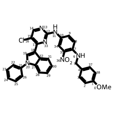 COc1ccc(CNc2ccc(Nc3ncc(Cl)c(-c4cn(-c5ccccc5)c5ccccc45)n3)cc2[N+](=O)[O-])cc1